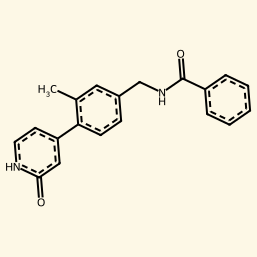 Cc1cc(CNC(=O)c2ccccc2)ccc1-c1cc[nH]c(=O)c1